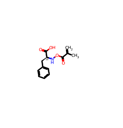 C=C(C)C(=O)ON[C@@H](Cc1ccccc1)C(=O)O